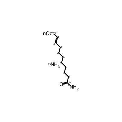 CCCCCCCCC=CCCCCCCCC(N)=O.N